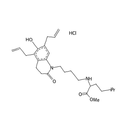 C=CCc1cc2c(c(CC=C)c1O)CCC(=O)N2CCCCNC(CCC(C)C)C(=O)OC.Cl